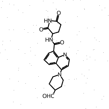 O=CC1CCN(c2ccnc3c(C(=O)NC4CCC(=O)NC4=O)cccc23)CC1